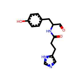 O=CC(Cc1ccc(O)cc1)NC(=O)CCc1cnc[nH]1